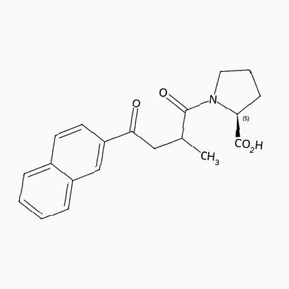 CC(CC(=O)c1ccc2ccccc2c1)C(=O)N1CCC[C@H]1C(=O)O